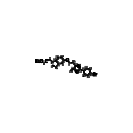 CCOC(=O)CC1CCc2cc(OCCc3nc(-c4ccc(Br)cc4)oc3C)ccc21